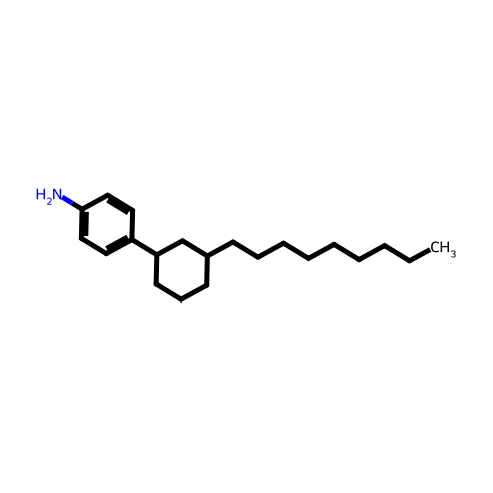 CCCCCCCCCC1C[CH]CC(c2ccc(N)cc2)C1